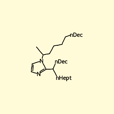 CCCCCCCCCCCCCCC(C)n1ccnc1C(CCCCCCC)CCCCCCCCCC